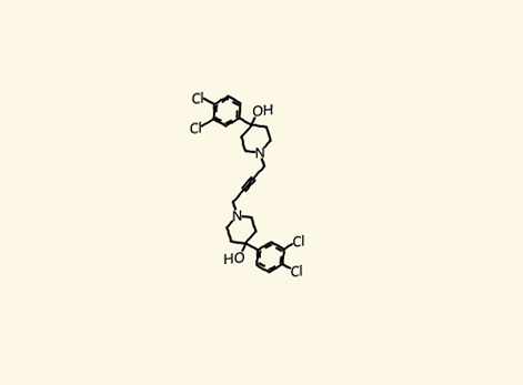 OC1(c2ccc(Cl)c(Cl)c2)CCN(CC#CCN2CCC(O)(c3ccc(Cl)c(Cl)c3)CC2)CC1